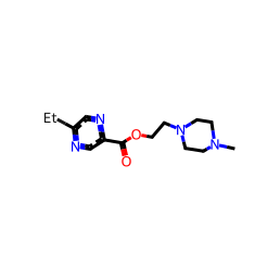 CCc1cnc(C(=O)OCCN2CCN(C)CC2)cn1